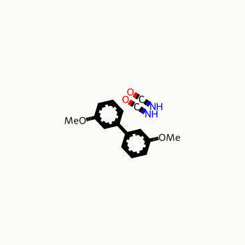 COc1cccc(-c2cccc(OC)c2)c1.N=C=O.N=C=O